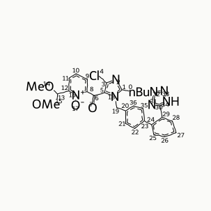 CCCCc1nc(Cl)c(C(=O)c2cccc(C(OC)OC)[n+]2[O-])n1Cc1ccc(-c2ccccc2-c2nnn[nH]2)cc1